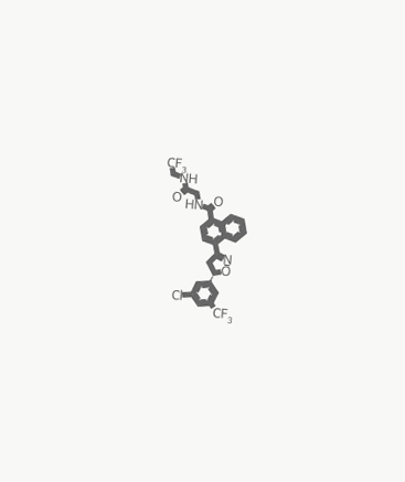 O=C(CNC(=O)c1ccc(C2=NO[C@H](c3cc(Cl)cc(C(F)(F)F)c3)C2)c2ccccc12)NCC(F)(F)F